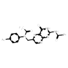 CC(=O)c1ccc(N(Cc2cnc3nc(NC(=O)C(C)C)[nH]c(=O)c3n2)C(=O)C(F)(F)F)cc1